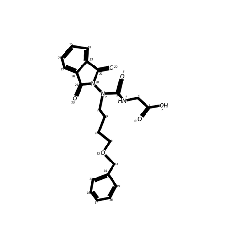 O=C(O)CNC(=O)N(CCCCOCc1ccccc1)N1C(=O)c2ccccc2C1=O